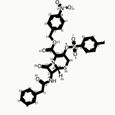 Cc1ccc(S(=O)(=O)OC2=C(C(=O)OCc3ccc([N+](=O)[O-])cc3)N3C(=O)C(NC(=O)Cc4ccccc4)[C@H]3SC2)cc1